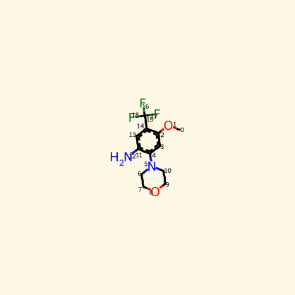 COc1cc(N2CCOCC2)c(N)cc1C(F)(F)F